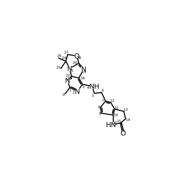 Cc1nc(NCCc2ccc3c(c2)CCC(=O)N3)c2nc3n(c2n1)C(C)(C)CO3